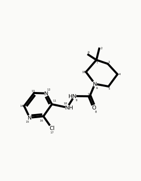 CC1(C)CCCN(C(=O)NNc2nccnc2Cl)C1